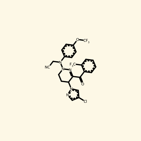 N#CCN(c1ccc(OC(F)(F)F)cc1)N1CCC(n2cc(Cl)cn2)C(C(=O)c2ccccc2C(F)(F)F)=N1